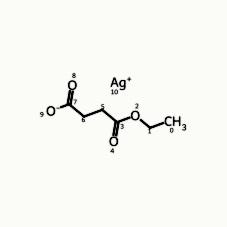 CCOC(=O)CCC(=O)[O-].[Ag+]